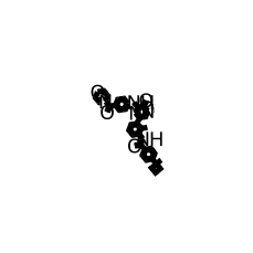 Cc1c(NC(=O)c2ccc(C3(C)CCC3)cc2)cccc1-c1cn(C)c(=O)c(Nc2ccc(C(=O)N3CCOCC3)cc2)n1